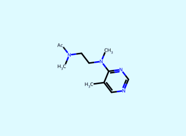 CC(=O)N(C)CCN(C)c1ncncc1C